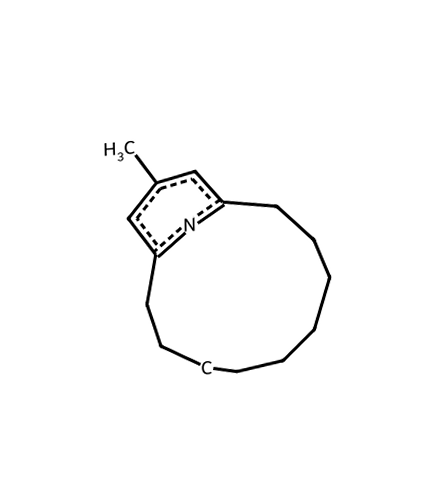 Cc1cc2nc(c1)CCCCCCCCC2